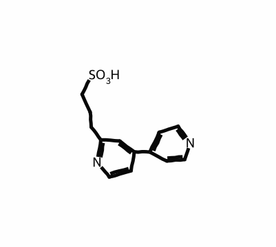 O=S(=O)(O)CCCc1cc(-c2ccncc2)ccn1